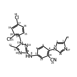 Cc1cn(-c2ccc(Nc3nc(C)n(-c4ccc(Cl)cc4Cl)n3)cc2C#N)cn1